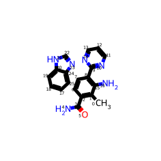 Cc1c(C(N)=O)ccc(-c2ncccn2)c1N.c1ccc2[nH]cnc2c1